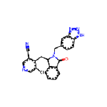 Cc1cncc(C#N)c1CC1c2ccccc2C(=O)N1Cc1ccc2[nH]nnc2c1